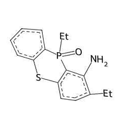 CCc1ccc2c(c1N)P(=O)(CC)c1ccccc1S2